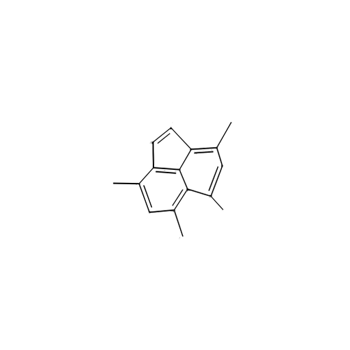 Cc1cc(C)c2c(C)cc(C)c3c2c1C=C3